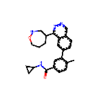 Cc1ccc(C(=O)NC2CC2)cc1-c1ccc2cnnc(C3CCCONC3)c2c1